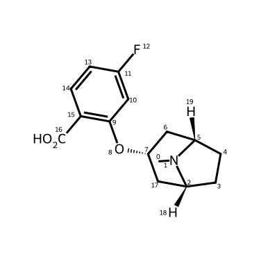 CN1[C@@H]2CC[C@H]1C[C@@H](Oc1cc(F)ccc1C(=O)O)C2